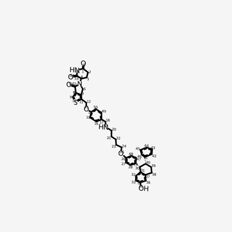 O=C1CCC(N2Cc3c(csc3COc3ccc(CNCCCCCOc4ccc([C@H]5c6ccc(O)cc6CC[C@H]5c5ccccc5)cc4)cc3)C2=O)C(=O)N1